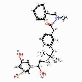 CN(Cc1ccccc1)C(=O)Cc1cccc(CC(C)(C)[AsH]CC(O)c2cc(O)cc(O)c2)c1